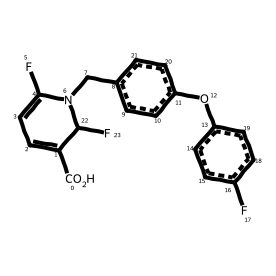 O=C(O)C1=CC=C(F)N(Cc2ccc(Oc3ccc(F)cc3)cc2)C1F